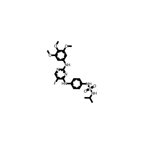 COc1cc(Nc2ncc(F)c(Nc3ccc(NS(=O)(=O)NC(C)C)cc3)n2)cc(OC)c1OC